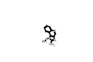 Cc1nc2cnc3ccccc3c2n1OC(C)C